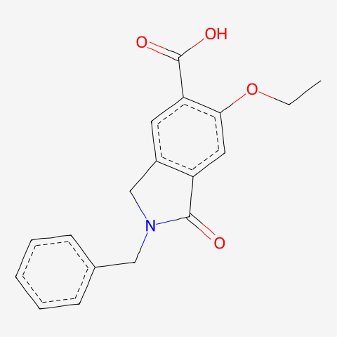 CCOc1cc2c(cc1C(=O)O)CN(Cc1ccccc1)C2=O